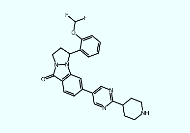 O=c1c2ccc(-c3cnc(C4CCNCC4)nc3)cc2n2n1CCC2c1ccccc1OC(F)F